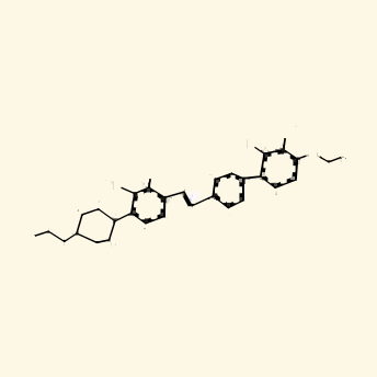 CCCC1CCC(c2ccc(/C=C/c3ccc(-c4ccc(OCC)c(F)c4F)cc3)c(F)c2F)CC1